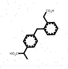 CC(C(=O)O)c1ccc(Cc2ccccc2CC(=O)O)cc1